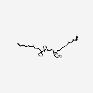 C=CCCCCCCCC(=O)NCCN1CC[N+](C)=C1CCCCCCCC=C